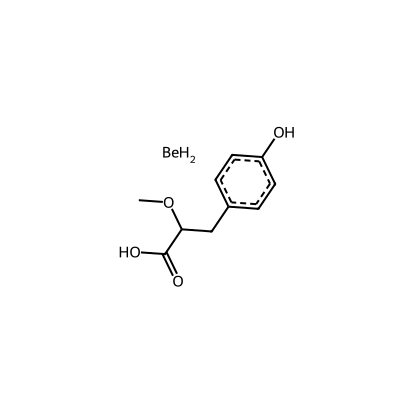 COC(Cc1ccc(O)cc1)C(=O)O.[BeH2]